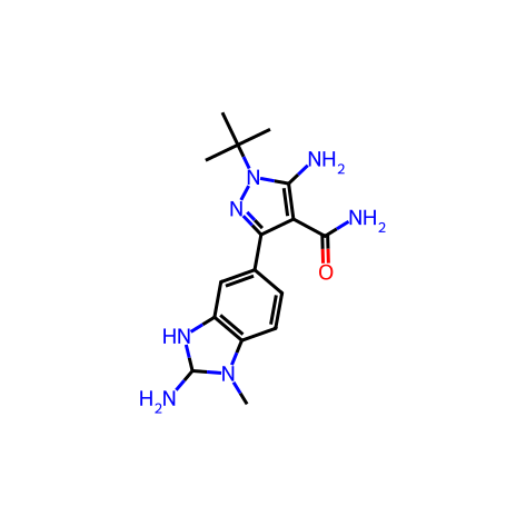 CN1c2ccc(-c3nn(C(C)(C)C)c(N)c3C(N)=O)cc2NC1N